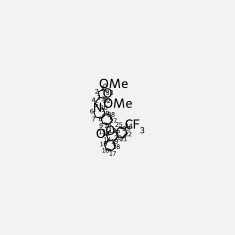 COC1CC(CN2CCc3cc(OC(=O)c4ccccc4-c4ccc(C(F)(F)F)cc4)ccc3C2)C(OC)O1